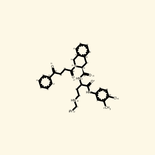 Cc1cc(NC(=O)C(CCNCC(C)C)NC(=O)[C@@H]2Cc3ccccc3CN2C(=O)CCC(=O)c2ccccc2)ccc1Cl